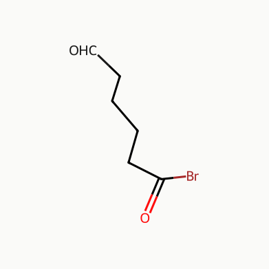 O=CCCCCC(=O)Br